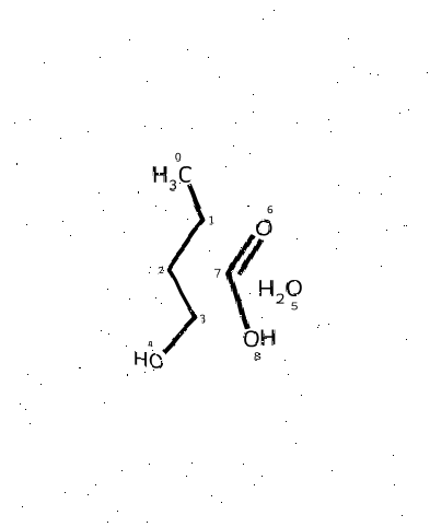 CCCCO.O.O=CO